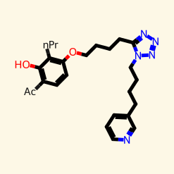 CCCc1c(OCCCCc2nnnn2CCCCc2cccnc2)ccc(C(C)=O)c1O